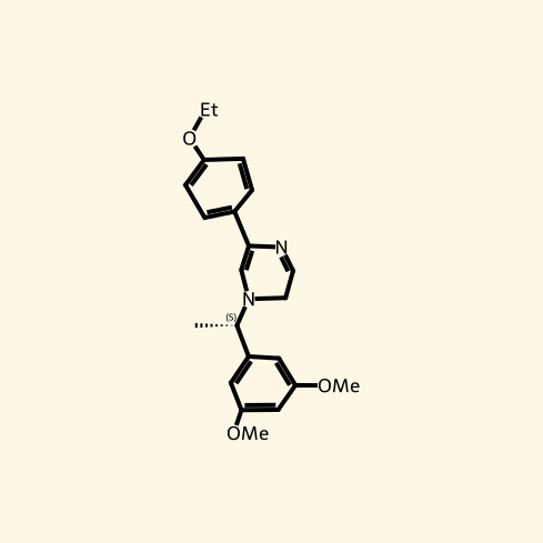 CCOc1ccc(C2=CN([C@@H](C)c3cc(OC)cc(OC)c3)CC=N2)cc1